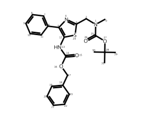 CN(Cc1nc(-c2ccccc2)c(NC(=O)OCc2ccccc2)s1)C(=O)OC(C)(C)C